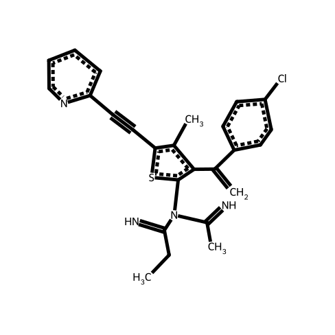 C=C(c1ccc(Cl)cc1)c1c(N(C(C)=N)C(=N)CC)sc(C#Cc2ccccn2)c1C